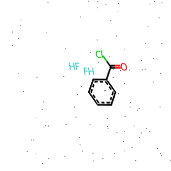 F.F.O=C(Cl)c1ccccc1